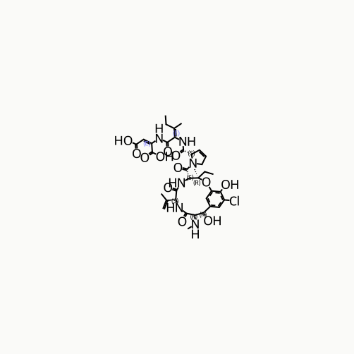 C=C(C)[C@@H]1NC(=O)[C@H](NC)[C@H](O)c2cc(Cl)c(O)c(c2)O[C@](C)(CC)[C@@H](C(=O)N2CC=C[C@H]2C(=O)N/C(C(=O)N/C(=C/C(=O)O)C(=O)O)=C(\C)CC)NC1=O